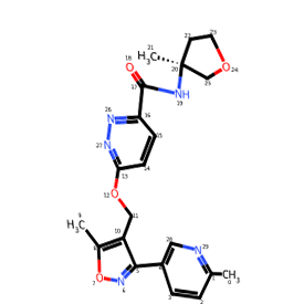 Cc1ccc(-c2noc(C)c2COc2ccc(C(=O)N[C@@]3(C)CCOC3)nn2)cn1